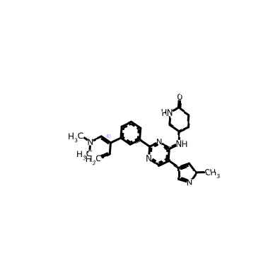 C=C/C(=C\N(C)C)c1cccc(-c2ncc(C3=CC(C)N=C3)c(NC3CCC(=O)NC3)n2)c1